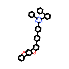 c1ccc(-c2nc(-c3ccc(-c4ccc(-c5ccc6oc7cc8c(cc7c6c5)oc5ccccc58)cc4)cc3)nc(-c3ccccc3-c3ccccc3)n2)cc1